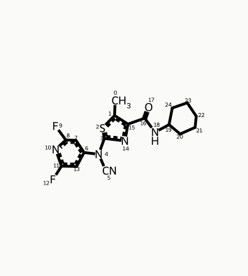 Cc1sc(N(C#N)c2cc(F)nc(F)c2)nc1C(=O)NC1CCCCC1